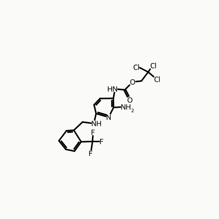 Nc1nc(NCc2ccccc2C(F)(F)F)ccc1NC(=O)OCC(Cl)(Cl)Cl